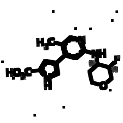 Cc1cnc(N[C@H]2CCOC[C@@H]2F)cc1-c1c[nH]c(C(=O)O)c1